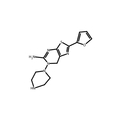 NC1=Nc2sc(-c3ccco3)nc2CN1N1CCNCC1